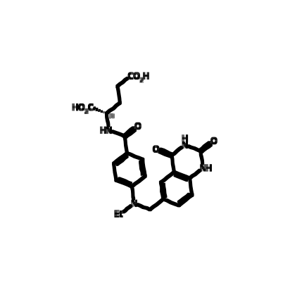 CCN(Cc1ccc2[nH]c(=O)[nH]c(=O)c2c1)c1ccc(C(=O)N[C@@H](CCC(=O)O)C(=O)O)cc1